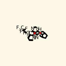 Cc1ncnc(N2CC3CCC(C2)C3Nc2nc3c(OCC(F)(F)C(F)(F)F)cccn3n2)c1F